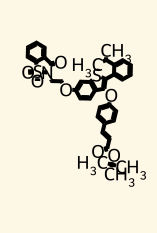 CC(C)c1ccccc1-c1sc2cc(OCCN3C(=O)c4ccccc4S3(=O)=O)ccc2c1Oc1ccc(/C=C/C(=O)OC(C)(C)C)cc1